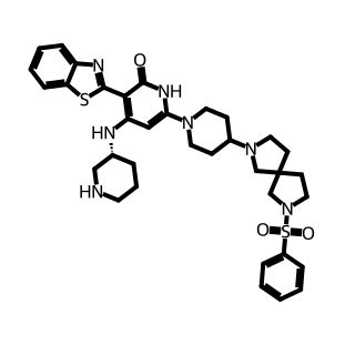 O=c1[nH]c(N2CCC(N3CCC4(CCN(S(=O)(=O)c5ccccc5)C4)C3)CC2)cc(N[C@@H]2CCCNC2)c1-c1nc2ccccc2s1